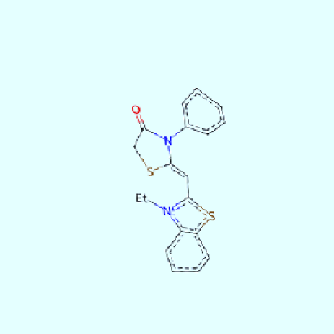 CC[n+]1c(C=C2SCC(=O)N2c2ccccc2)sc2ccccc21